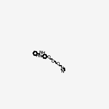 N=C(Nc1ccc(OCCOCCOCCn2ccnc2)cc1)c1ccccc1